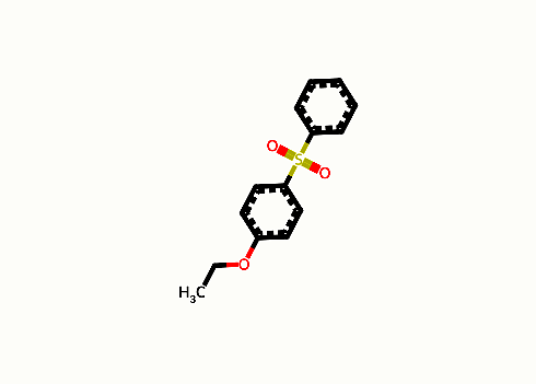 CCOc1ccc(S(=O)(=O)c2ccccc2)cc1